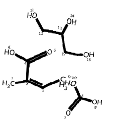 CC=C(C)C(=O)O.O=C(O)O.OCC(O)CO